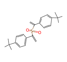 C=C(c1ccc(C(C)(C)C)cc1)S(=O)(=O)C(=C)c1ccc(C(C)(C)C)cc1